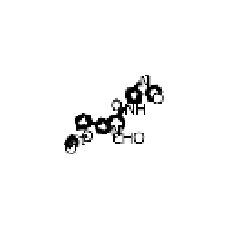 C1CCOC1.CCOc1ccccc1-c1ccc2c(c1)C=C(C(=O)Nc1ccc(CN(C)C3CCOCC3)cc1)CCN2C=O